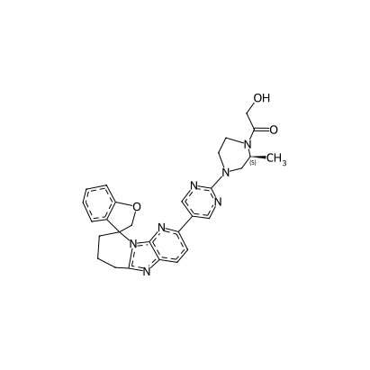 C[C@H]1CN(c2ncc(-c3ccc4nc5n(c4n3)C3(CCC5)COc4ccccc43)cn2)CCN1C(=O)CO